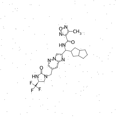 Cc1nonc1C(=O)NC(c1cn2ncc(CN3C[C@@H](C(F)(F)F)NC3=O)cc2n1)C1CC2CCCC2C1